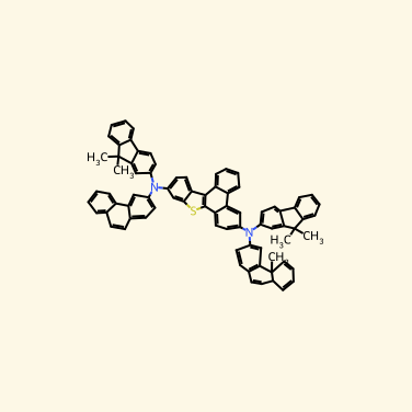 CC1(C)c2ccccc2-c2ccc(N(c3ccc4c(c3)sc3c5ccc(N(c6ccc7c(c6)C(C)(C)c6ccccc6-7)c6ccc7c(c6)C6(C)C=CC=CC6C=C7)cc5c5ccccc5c43)c3ccc4ccc5ccccc5c4c3)cc21